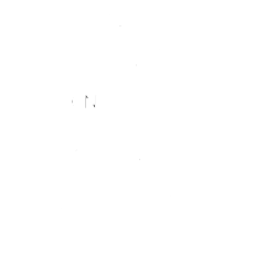 [C-]#[N+]C1(C(C)c2ccccc2)CC1